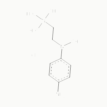 CN(CC[N+](C)(C)C)c1ccc(N)cc1.[Cl-]